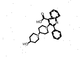 O=C(O)c1c(N2CCC(N3CCC(O)CC3)CC2)c(-c2ccccc2)nc2ccccc12